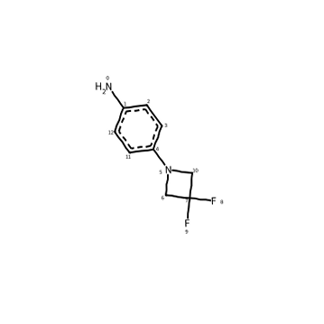 Nc1ccc(N2CC(F)(F)C2)cc1